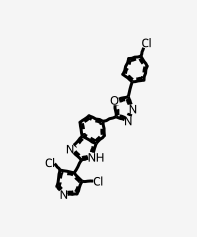 Clc1ccc(-c2nnc(-c3ccc4nc(-c5c(Cl)cncc5Cl)[nH]c4c3)o2)cc1